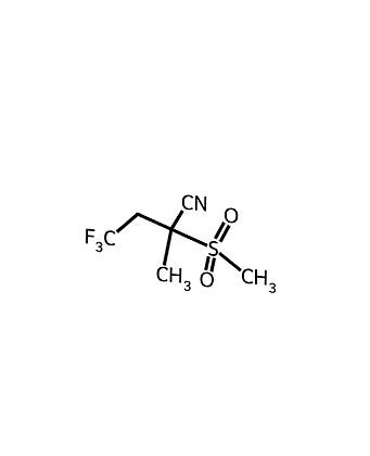 CC(C#N)(CC(F)(F)F)S(C)(=O)=O